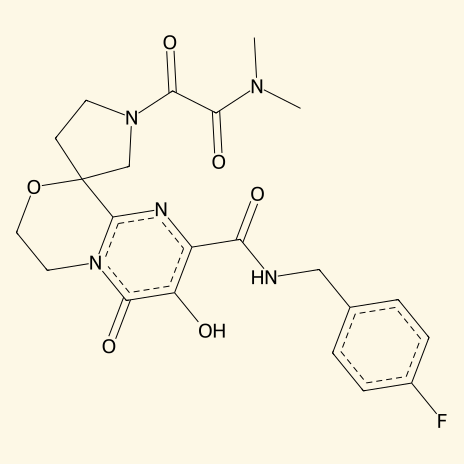 CN(C)C(=O)C(=O)N1CCC2(C1)OCCn1c2nc(C(=O)NCc2ccc(F)cc2)c(O)c1=O